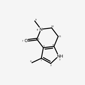 Cc1c[nH]c2c1C(=O)N(C)CC2